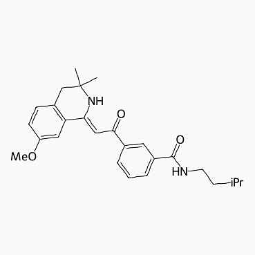 COc1ccc2c(c1)C(=CC(=O)c1cccc(C(=O)NCCC(C)C)c1)NC(C)(C)C2